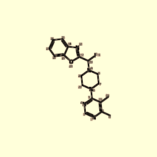 Cc1ncnc(N2CCN(C(F)c3nc4ccccc4o3)CC2)c1C